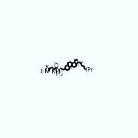 CC(C)CCC[C@@H](C)[C@H]1CCC2C3CC=C4CC(CCNC(=O)[C@@H](N)Cc5c[nH]cn5)CC[C@]4(C)C3CC[C@@]21C